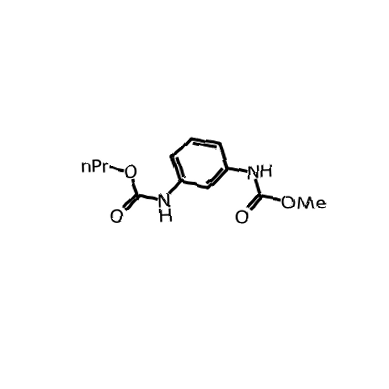 CCCOC(=O)Nc1cccc(NC(=O)OC)c1